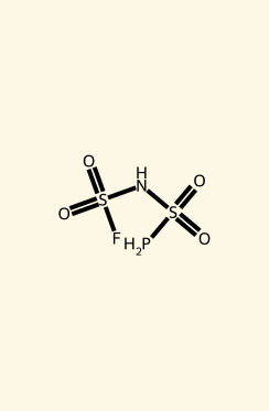 O=S(=O)(F)NS(=O)(=O)P